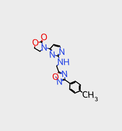 Cc1ccc(-c2noc(CNc3nccc(N4CCOC4=O)n3)n2)cc1